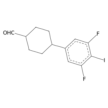 O=CC1CCC(c2cc(F)c(I)c(F)c2)CC1